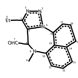 CCc1nnn2c1C(C=O)N(C)c1cccc3cccc-2c13